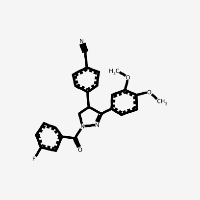 COc1ccc(C2=NN(C(=O)c3cccc(F)c3)CC2c2ccc(C#N)cc2)cc1OC